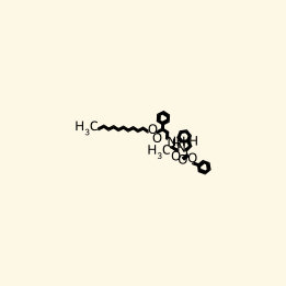 CCCCCCCCCCCCOC(=O)C(CCN[C@@H](C)C(=O)N1[C@@H]2CCCC[C@@H]2C[C@H]1C(=O)OCc1ccccc1)c1ccccc1